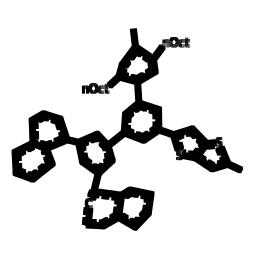 CCCCCCCCc1cc(-c2cc(-c3cc(-c4cccc5ccccc45)cc(-c4cccc5ccccc45)c3)cc(-c3cc4sc(C)cc4s3)c2)c(CCCCCCCC)cc1C